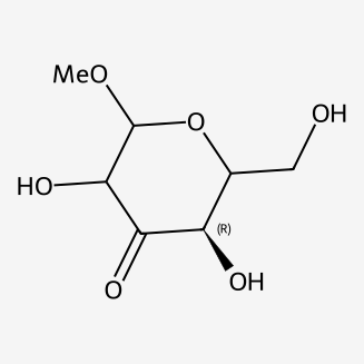 COC1OC(CO)[C@@H](O)C(=O)C1O